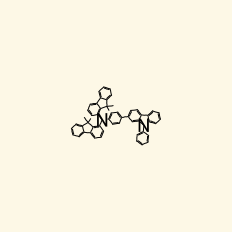 CC1(C)c2ccccc2-c2cccc(N(c3ccc(-c4ccc5c6ccccc6n(-c6ccccc6)c5c4)cc3)c3cccc4c3C(C)(C)c3ccccc3-4)c21